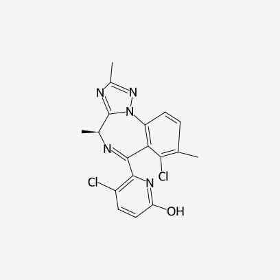 Cc1nc2n(n1)-c1ccc(C)c(Cl)c1C(c1nc(O)ccc1Cl)=N[C@H]2C